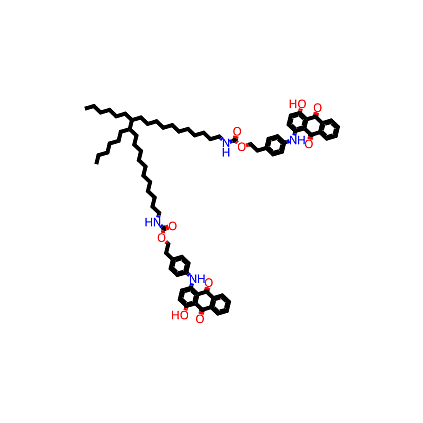 CCCCCCC(CCCCCCCCCCCNC(=O)OCCc1ccc(Nc2ccc(O)c3c2C(=O)c2ccccc2C3=O)cc1)C(CCCCCC)CCCCCCCCCCCNC(=O)OCCc1ccc(Nc2ccc(O)c3c2C(=O)c2ccccc2C3=O)cc1